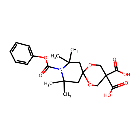 CC1(C)CC2(CC(C)(C)N1C(=O)Oc1ccccc1)OCC(C(=O)O)(C(=O)O)CO2